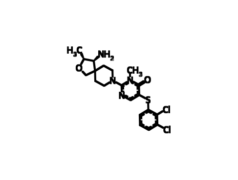 C[C@@H]1OCC2(CCN(c3ncc(Sc4cccc(Cl)c4Cl)c(=O)n3C)CC2)[C@@H]1N